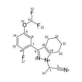 CC(C#N)n1nc(-c2cc(OC(F)F)ccc2F)c2c1CCCC2